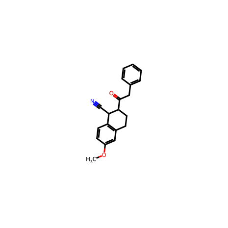 COc1ccc2c(c1)CCC(C(=O)Cc1ccccc1)C2C#N